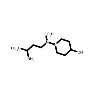 NC(CCN(C(=O)O)N1CCC(O)CC1)C(=O)O